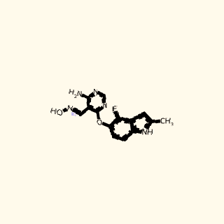 Cc1cc2c(F)c(Oc3ncnc(N)c3/C=N/O)ccc2[nH]1